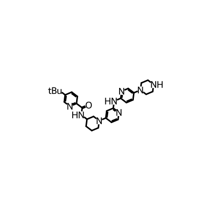 CC(C)(C)c1ccc(C(=O)NC2CCCN(c3ccnc(Nc4ccc(N5CCNCC5)cn4)c3)C2)nc1